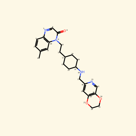 Cc1ccc2ncc(=O)n(CCC3CCC(NCc4cc5c(cn4)OCCO5)CC3)c2c1